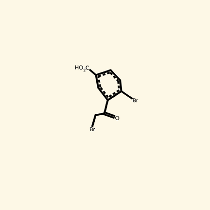 O=C(O)c1ccc(Br)c(C(=O)CBr)c1